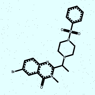 CC(c1nc2ccc(Br)cc2c(=O)n1C)N1CCN(S(=O)(=O)c2ccccc2)CC1